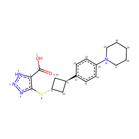 O=C(O)c1[nH]nnc1S[C@H]1C[C@H](c2ccc(N3CCCCC3)cc2)C1